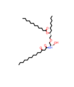 CCCCCCCCCCCC(=O)CC(=O)N[C@@H](CO)COCC[C@@H](CCCCCCC)OC(=O)CCCCCCCCCCC